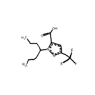 CCCC(CCC)n1nc(C(F)(F)F)cc1C(=O)O